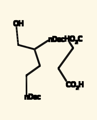 CCCCCCCCCCCCC(CO)CCCCCCCCCC.O=C(O)CCC(=O)O